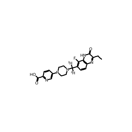 [2H]C([2H])(c1ccc2nc(CC)c(=O)[nH]c2c1F)N1CCN(c2ccc(C(=O)O)nc2)CC1